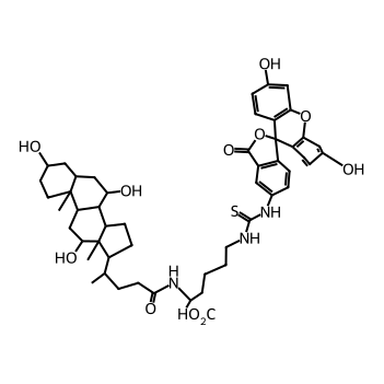 CC(CCC(=O)NC(CCCCNC(=S)Nc1ccc2c(c1)C(=O)OC21c2ccc(O)cc2Oc2cc(O)ccc21)C(=O)O)C1CCC2C3C(O)CC4CC(O)CCC4(C)C3CC(O)C12C